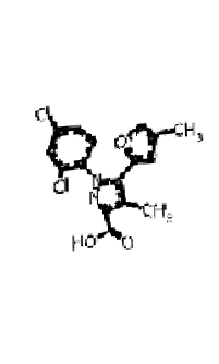 Cc1coc(-c2c(C)c(C(=O)O)nn2-c2ccc(Cl)cc2Cl)c1